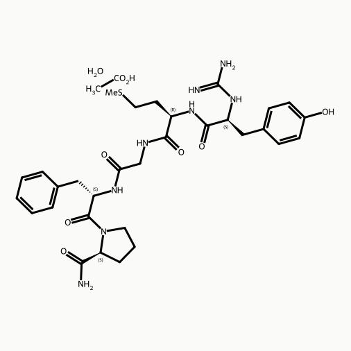 CC(=O)O.CSCC[C@@H](NC(=O)[C@H](Cc1ccc(O)cc1)NC(=N)N)C(=O)NCC(=O)N[C@@H](Cc1ccccc1)C(=O)N1CCC[C@H]1C(N)=O.O